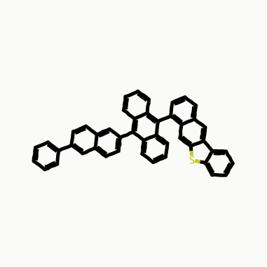 c1ccc(-c2ccc3cc(-c4c5ccccc5c(-c5cccc6cc7c(cc56)sc5ccccc57)c5ccccc45)ccc3c2)cc1